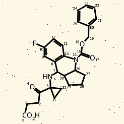 O=C(O)CCC(=O)C1(NC2c3cc(F)ccc3N(C(=O)OCc3ccccc3)C3CCCC23)CC1